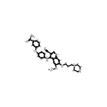 COc1cc2c(Nc3ccc(Oc4cccc(C(N)=O)c4)cc3)c(C#N)cnc2cc1OCCCN1CCOCC1